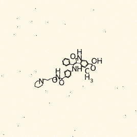 Cc1cc2c(cc1C(=O)O)NC(=O)C2=C(Nc1ccc(C(=O)NOCCCN2CCCCC2)cc1)c1ccccc1